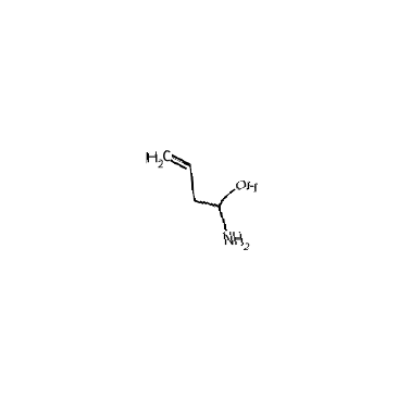 C=CCC(N)O